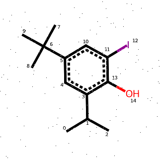 CC(C)c1cc(C(C)(C)C)cc(I)c1O